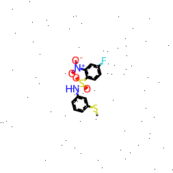 CSc1cccc(NS(=O)(=O)c2ccc(F)cc2[N+](=O)[O-])c1